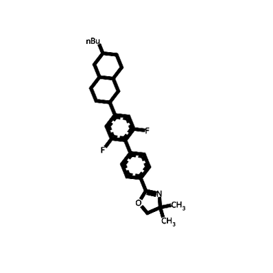 CCCCC1CCC2CC(c3cc(F)c(-c4ccc(C5=NC(C)(C)CO5)cc4)c(F)c3)CCC2C1